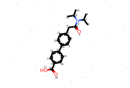 CC(C)N(C(=O)Cc1ccc(-c2ccc(C(=O)O)cc2)cc1)C(C)C